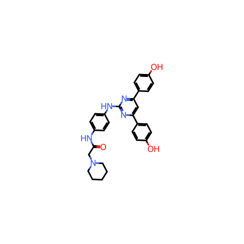 O=C(CN1CCCCC1)Nc1ccc(Nc2nc(-c3ccc(O)cc3)cc(-c3ccc(O)cc3)n2)cc1